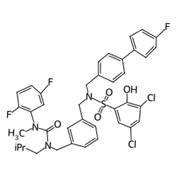 CC(C)CN(Cc1cccc(CN(Cc2ccc(-c3ccc(F)cc3)cc2)S(=O)(=O)c2cc(Cl)cc(Cl)c2O)c1)C(=O)N(C)c1cc(F)ccc1F